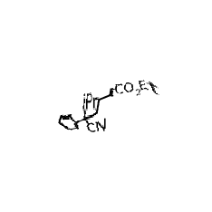 CCOC(=O)/C=C/CCC(C#N)(c1ccccc1)C(C)C